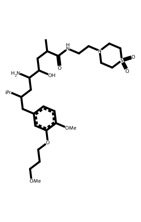 COCCCOc1cc(CC(CC(N)C(O)CC(C)C(=O)NCCN2CCS(=O)(=O)CC2)C(C)C)ccc1OC